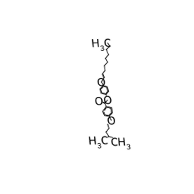 CCCCCCCCC=COc1ccc(OC(=O)c2ccc(OCCCC(C)CC)cc2)cc1